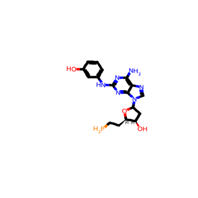 Nc1nc(Nc2cccc(O)c2)nc2c1ncn2C1C[C@@H](O)[C@@H](CCP)O1